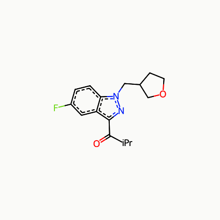 CC(C)C(=O)c1nn(CC2CCOC2)c2ccc(F)cc12